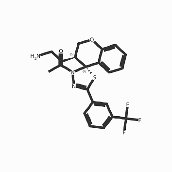 CC(=O)N1N=C(c2cccc(C(F)(F)F)c2)S[C@]12c1ccccc1OC[C@@H]2CCN